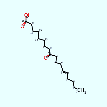 CCCCC=CCCCC(=O)CCCCCCCC(=O)O